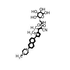 C/C(=C(/C#N)S(=O)(=O)NC[C@H]1OC(O)[C@H](O)[C@@H](O)[C@@H]1O)c1ccc(-c2ccc3cc(N4CCN(C)CC4)ccc3c2)n1C